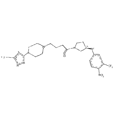 O=C(CCCN1CCN(c2nnc(C(F)(F)F)s2)CC1)N1CC[C@@H](Nc2ccc([N+](=O)[O-])c(C(F)(F)F)c2)C1